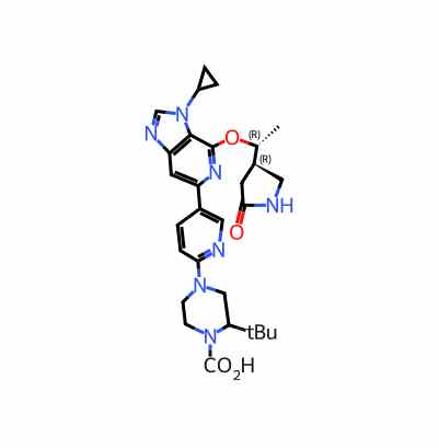 C[C@@H](Oc1nc(-c2ccc(N3CCN(C(=O)O)C(C(C)(C)C)C3)nc2)cc2ncn(C3CC3)c12)[C@H]1CNC(=O)C1